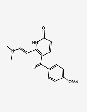 COc1ccc(C(=O)c2ccc(=O)[nH]c2/C=C/N(C)C)cc1